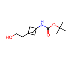 CC(C)(C)OC(=O)NC12CC(CCO)(C1)C2